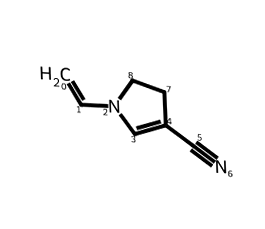 C=CN1C=C(C#N)CC1